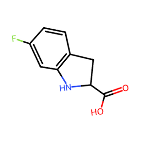 O=C(O)C1Cc2ccc(F)cc2N1